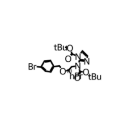 CCC[C@H](CN(C(=O)OC(C)(C)C)c1nccn1C(=O)OC(C)(C)C)OCc1ccc(Br)cc1